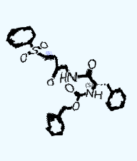 O=C(/C=C/S(=O)(=O)c1ccccc1)CNC(=O)[C@H](Cc1ccccc1)NC(=O)OCc1ccccc1